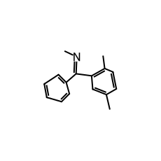 C/N=C(\c1ccccc1)c1cc(C)ccc1C